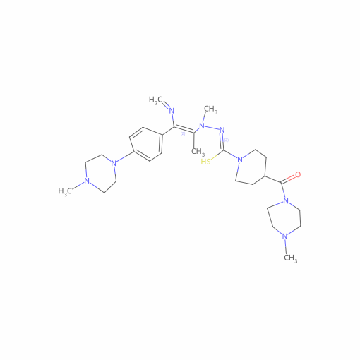 C=N/C(=C(/C)N(C)/N=C(\S)N1CCC(C(=O)N2CCN(C)CC2)CC1)c1ccc(N2CCN(C)CC2)cc1